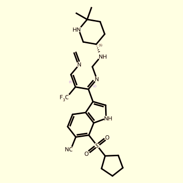 C=N/C=C(\C(=N/CN[C@H]1CCC(C)(C)NC1)c1c[nH]c2c(S(=O)(=O)C3CCCC3)c(C#N)ccc12)C(F)(F)F